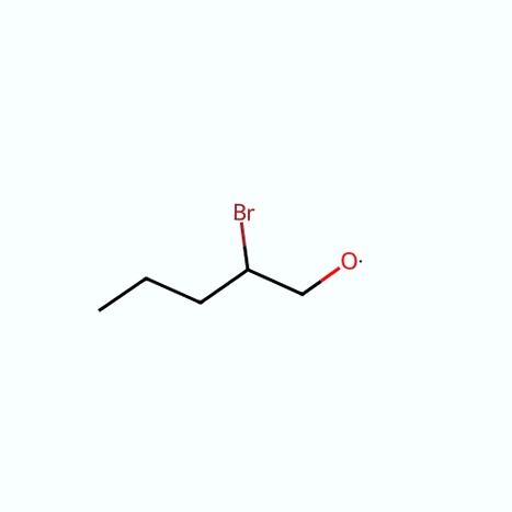 CCCC(Br)C[O]